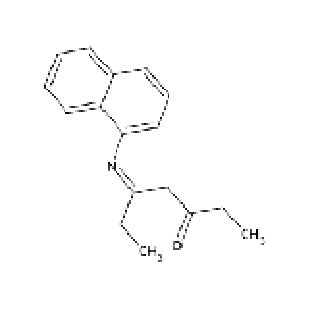 CCC(=O)CC(CC)=Nc1cccc2ccccc12